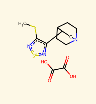 CSc1nsnc1C1CN2CCC1CC2.O=C(O)C(=O)O